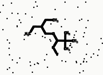 CCC(CC)COC([O][V])C(C)(C)C